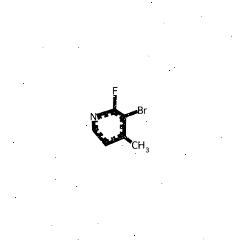 Cc1ccnc(F)c1Br